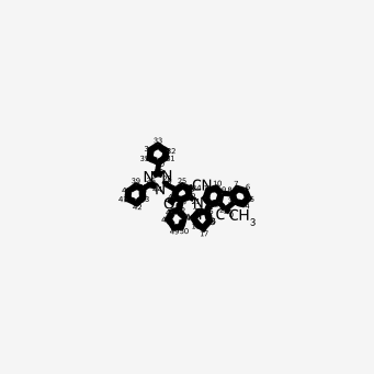 CC1(C)c2ccccc2-c2ccc3c(c21)c1ccccc1n3-c1c(C#N)cc(-c2nc(-c3ccccc3)nc(-c3ccccc3)n2)c2oc3ccccc3c12